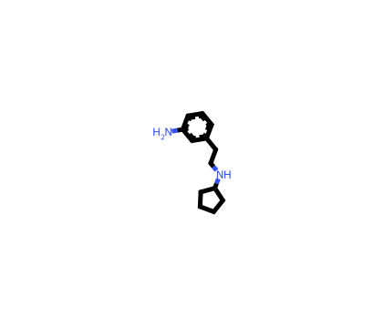 Nc1cccc(CCNC2CCCC2)c1